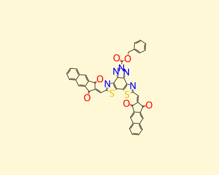 O=C1C(=Cc2nc3c4nn(C(=O)OCc5ccccc5)nc4c4nc(C=C5C(=O)c6cc7ccccc7cc6C5=O)sc4c3s2)C(=O)c2cc3ccccc3cc21